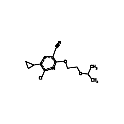 CC(C)OCCOc1nc(Cl)c(C2CC2)cc1C#N